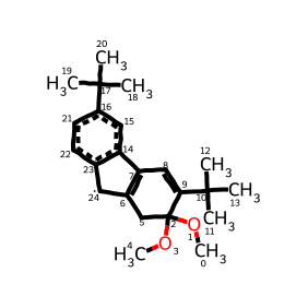 COC1(OC)CC2=C(C=C1C(C)(C)C)c1cc(C(C)(C)C)ccc1[CH]2